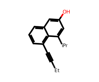 CCC#Cc1cccc2cc(O)cc(C(C)C)c12